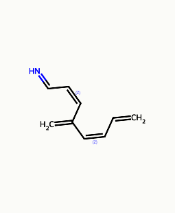 C=C/C=C\C(=C)/C=C\C=N